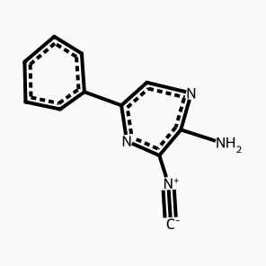 [C-]#[N+]c1nc(-c2ccccc2)cnc1N